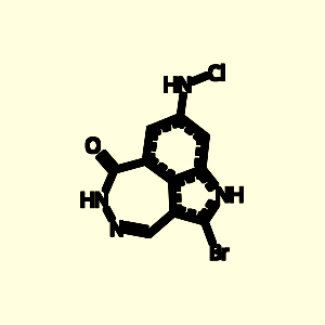 O=C1NN=Cc2c(Br)[nH]c3cc(NCl)cc1c23